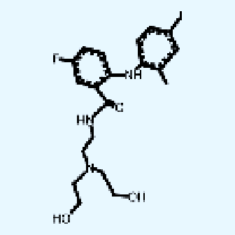 Cc1cc(I)ccc1Nc1ccc(F)cc1C(=O)NCCN(CCO)CCO